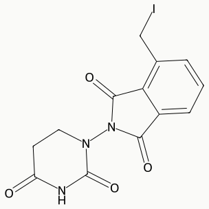 O=C1CCN(N2C(=O)c3cccc(CI)c3C2=O)C(=O)N1